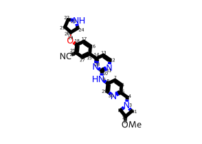 COC1CN(Cc2ccc(Nc3nccc(-c4ccc(O[C@@H]5CCNC5)c(C#N)c4)n3)cn2)C1